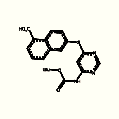 CC(C)(C)OC(=O)Nc1cc(Sc2ccc3c(C(=O)O)cccc3c2)ncn1